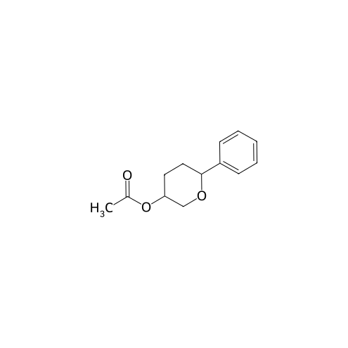 CC(=O)OC1CCC(c2ccccc2)OC1